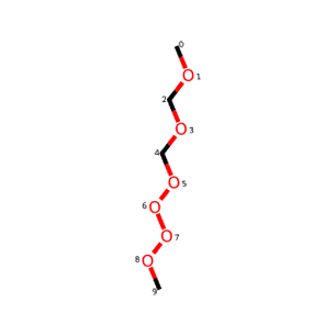 COCOCOOOOC